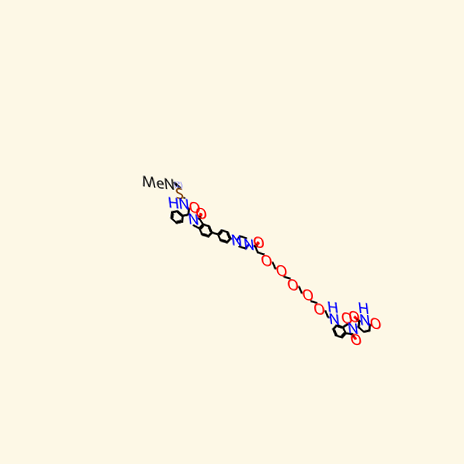 CN/C=C\SCNC(=O)C(c1ccccc1)N1Cc2ccc(-c3ccc(N4CCN(C(=O)CCOCCOCCOCCOCCOCCNc5cccc6c5C(=O)N(C5CCC(=O)NC5=O)C6=O)CC4)cc3)cc2C1=O